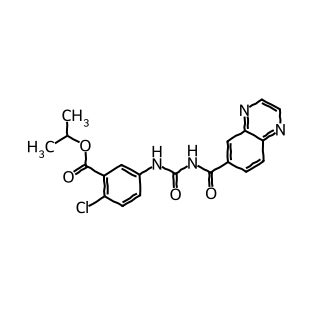 CC(C)OC(=O)c1cc(NC(=O)NC(=O)c2ccc3nccnc3c2)ccc1Cl